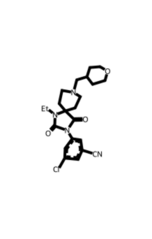 CCN1C(=O)N(c2cc(Cl)cc(C#N)c2)C(=O)C12CCN(CC1CCOCC1)CC2